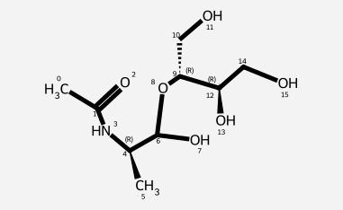 CC(=O)N[C@H](C)C(O)O[C@H](CO)[C@H](O)CO